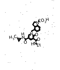 CCNC(=O)c1cc(C(=O)N[C@@H]2C[C@H]2C)cn(Cc2cccc3c2CCN3C(=O)O)c1=O